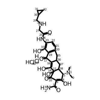 CN(C)[C@@H]1C(O)=C(C(N)=O)C(=O)C2(O)C(O)=C3C(=O)c4c(ccc(NC(=O)CNCC5CC5)c4O)CC3CC12.Cl.Cl